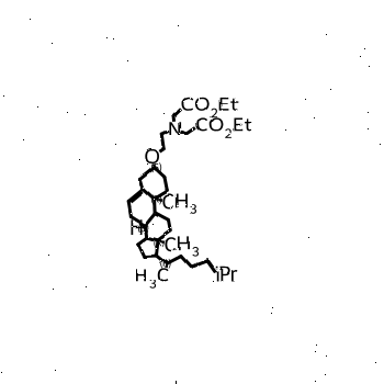 CCOC(=O)CN(CCO[C@H]1CC[C@@]2(C)C(=CC[C@H]3C4CCC([C@H](C)CCCC(C)C)[C@@]4(C)CCC32)C1)CC(=O)OCC